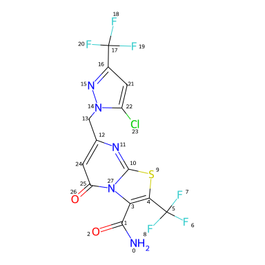 NC(=O)c1c(C(F)(F)F)sc2nc(Cn3nc(C(F)(F)F)cc3Cl)cc(=O)n12